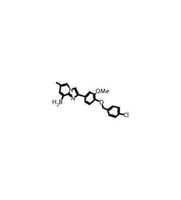 Bc1cc(C)cn2cc(-c3ccc(OCc4ccc(Cl)cc4)c(OC)c3)nc12